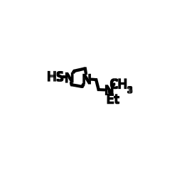 CCN(C)CCN1CCN(S)CC1